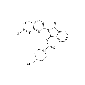 O=CN1CCN(C(=O)OC2c3ccccc3C(=O)N2c2ccc3ccc(Cl)nc3n2)CC1